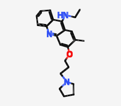 CCNc1c2ccccc2nc2cc(OCCCN3CCCC3)c(C)cc12